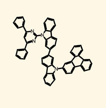 c1ccc(-c2cc(-c3ccccc3)nc(-n3c4ccccc4c4ccc(-c5ccc6c7ccccc7n(-c7ccc8c9ccccc9c9ccccc9c8c7)c6c5)cc43)n2)cc1